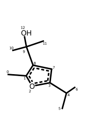 Cc1oc(C(C)C)cc1C(C)(C)O